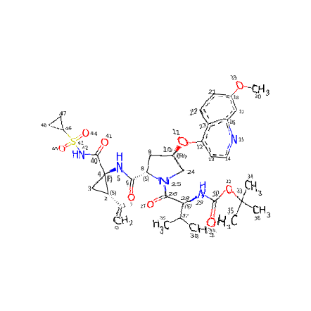 C=C[C@@H]1C[C@]1(NC(=O)[C@@H]1C[C@@H](Oc2ccnc3cc(OC)ccc23)CN1C(=O)[C@@H](NC(=O)OC(C)(C)C)C(C)C)C(=O)NS(=O)(=O)C1CC1